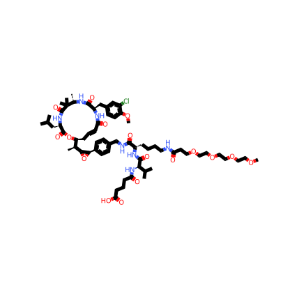 COCCOCCOCCOCCC(=O)NCCCC[C@H](NC(=O)[C@@H](NC(=O)CCCC(=O)O)C(C)C)C(=O)NCc1ccc([C@H]2OC2[C@@H](C)[C@@H]2C/C=C/C(=O)N[C@H](Cc3ccc(OC)c(Cl)c3)C(=O)N[C@@H](C)C(C)(C)C(=O)N[C@@H](CC(C)C)C(=O)O2)cc1